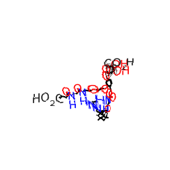 C/C=N\NCC12CC3(OCCNC(=O)OCc4ccc(O[C@H]5C[C@@H](O)[C@H](O)[C@@H](C(=O)O)O5)cc4OCCOCCNC(=O)CCNC(=O)CCC(=O)O)CC4(C)CC(C)(C1)C42C3